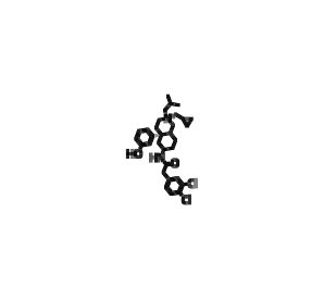 CC(C)C[N@+]1(CC2CC2)CC[C@]2(c3cccc(O)c3)C[C@H](NC(=O)Cc3ccc(Cl)c(Cl)c3)CCC2C1